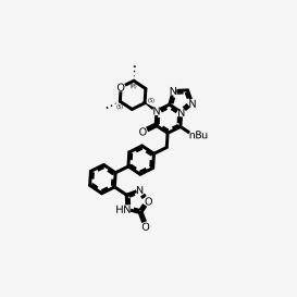 CCCCc1c(Cc2ccc(-c3ccccc3-c3noc(=O)[nH]3)cc2)c(=O)n([C@@H]2C[C@@H](C)O[C@@H](C)C2)c2ncnn12